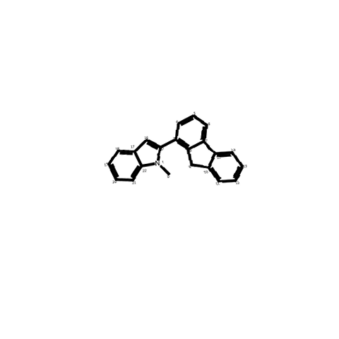 Cn1c(-c2cccc3c2Cc2ccccc2-3)cc2ccccc21